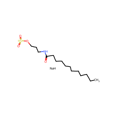 CCCCCCCCCCCC(=O)NCCCO[SH](=O)=O.[NaH]